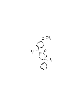 COc1ccc([C@H](C)N2CC[C@](C)(c3ccccc3)OC2=O)cc1